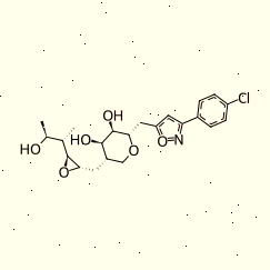 C[C@H]([C@@H]1O[C@H]1C[C@H]1CO[C@@H](Cc2cc(-c3ccc(Cl)cc3)no2)[C@H](O)[C@@H]1O)[C@H](C)O